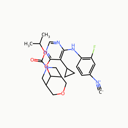 [C-]#[N+]c1ccc(Nc2ncnc(OC3C4COCC3CN(C(=O)OC(C)C)C4)c2C2CC2)c(F)c1